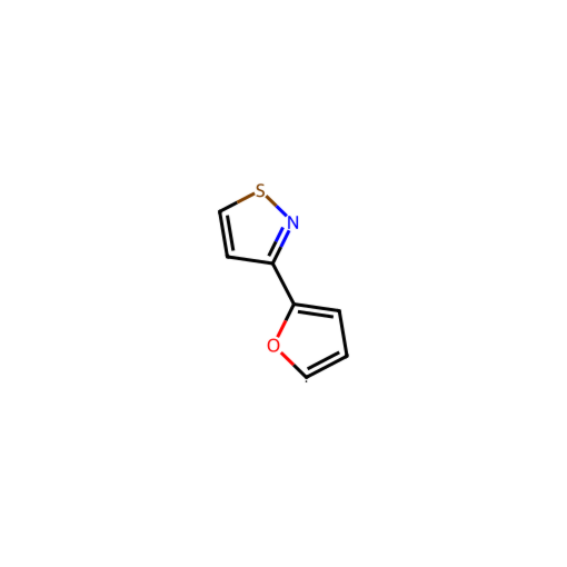 [c]1ccc(-c2ccsn2)o1